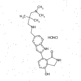 CN(C)CC(C)(C)CNCc1ccc2[nH]c(-c3ccc(O)c4c3C(=O)NC4)cc2c1.Cl.Cl